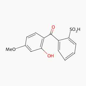 COc1ccc(C(=O)c2ccccc2S(=O)(=O)O)c(O)c1